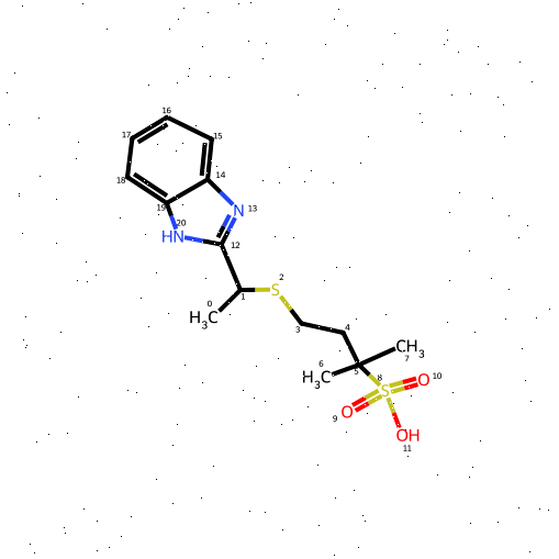 CC(SCCC(C)(C)S(=O)(=O)O)c1nc2ccccc2[nH]1